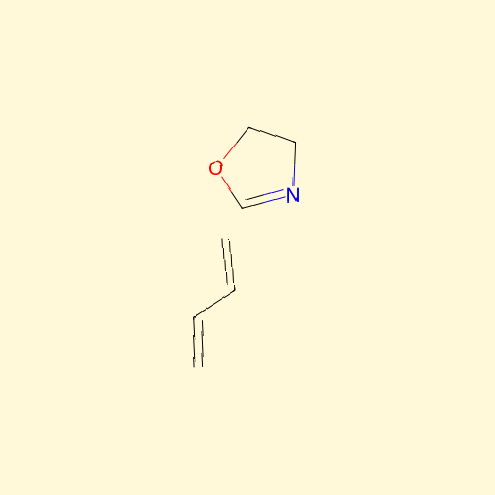 C1=NCCO1.C=CC=C